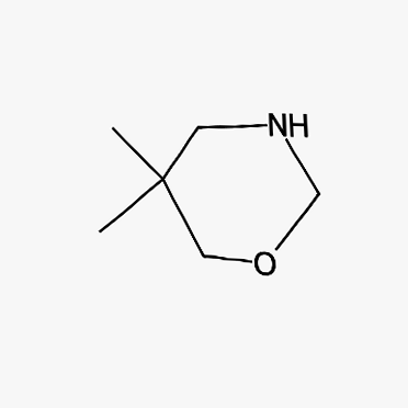 CC1(C)CNCOC1